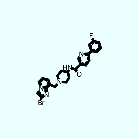 O=C(NC1CCN(Cc2cccn3cc(Br)nc23)CC1)c1ccc(-c2cccc(F)c2)nc1